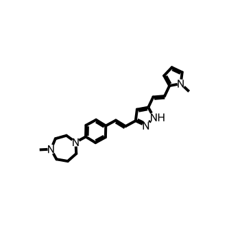 CN1CCCN(c2ccc(/C=C/c3cc(/C=C/c4cccn4C)[nH]n3)cc2)CC1